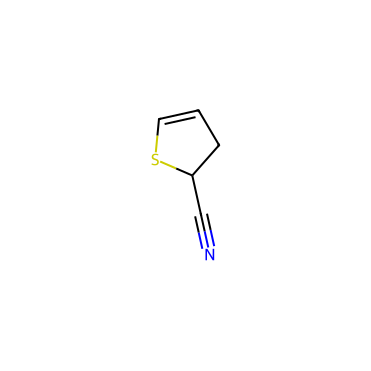 N#CC1CC=CS1